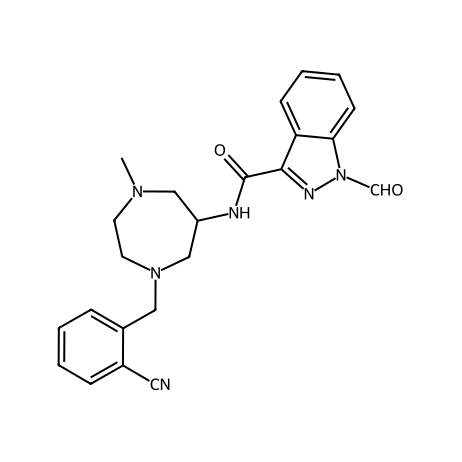 CN1CCN(Cc2ccccc2C#N)CC(NC(=O)c2nn(C=O)c3ccccc23)C1